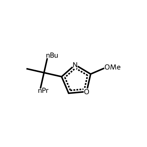 CCCCC(C)(CCC)c1coc(OC)n1